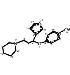 N#Cc1ccc(OC(CCN2CCCCC2)c2ccsc2)cc1